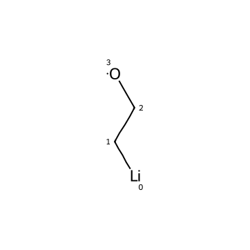 [Li][CH2]C[O]